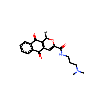 CCCC1OC(C(=O)NCCCN(C)C)=CC2=C1C(=O)c1ccccc1C2=O